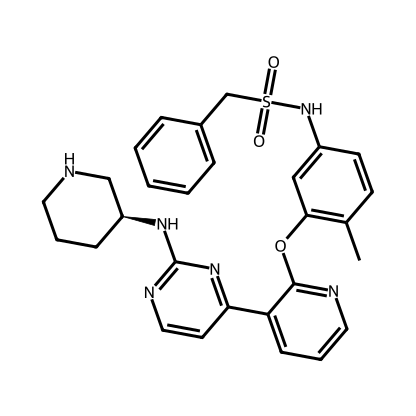 Cc1ccc(NS(=O)(=O)Cc2ccccc2)cc1Oc1ncccc1-c1ccnc(N[C@H]2CCCNC2)n1